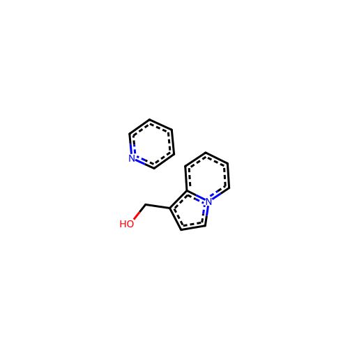 OCc1ccn2ccccc12.c1ccncc1